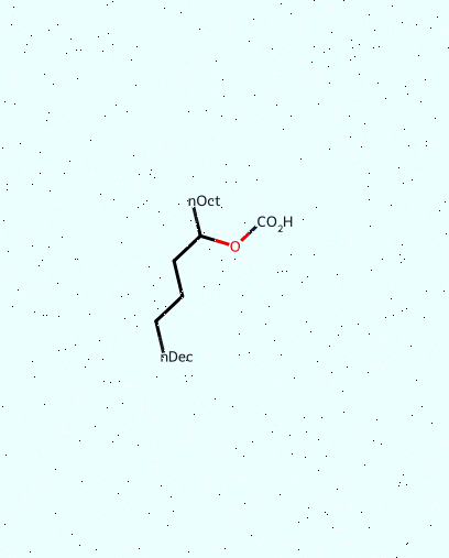 CCCCCCCCCCCCCC(CCCCCCCC)OC(=O)O